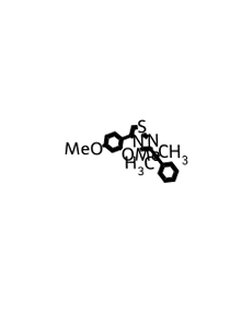 COc1ccc(-c2csc3nc(C(C)(C)c4ccccc4)cn23)c(OC)c1